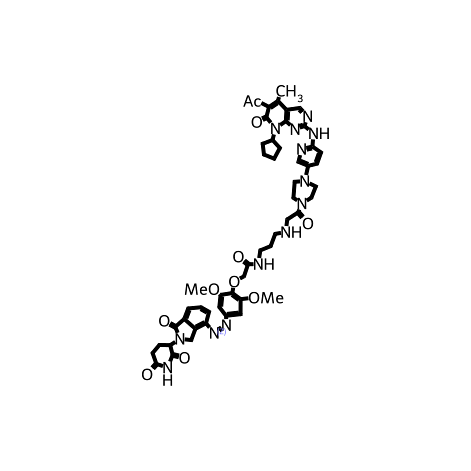 COc1cc(/N=N\c2cccc3c2CN(C2CCC(=O)NC2=O)C3=O)cc(OC)c1OCC(=O)NCCCNCC(=O)N1CCN(c2ccc(Nc3ncc4c(C)c(C(C)=O)c(=O)n(C5CCCC5)c4n3)nc2)CC1